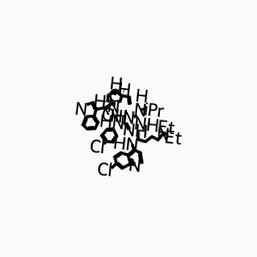 C=C[C@H]1C[N@]2CC[C@H]1C[C@@H]2[C@@H](O)c1ccnc2ccccc12.CC(C)NC(=N)NC(=N)Nc1ccc(Cl)cc1.CCN(CC)CCCC(C)Nc1ccnc2cc(Cl)ccc12